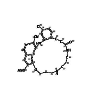 COc1cc2ncc(C#N)c3c2cc1OCCCNCCCNC(=O)CCc1ccc(Cl)cc1N3